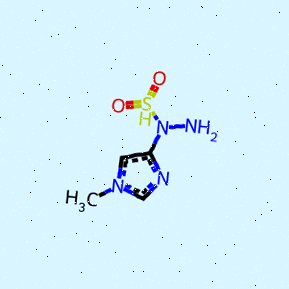 Cn1cnc(N(N)[SH](=O)=O)c1